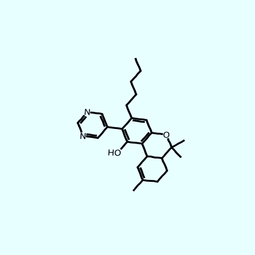 CCCCCc1cc2c(c(O)c1-c1cncnc1)C1C=C(C)CCC1C(C)(C)O2